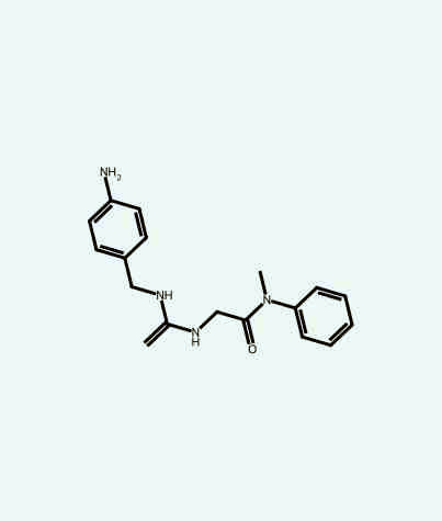 C=C(NCC(=O)N(C)c1ccccc1)NCc1ccc(N)cc1